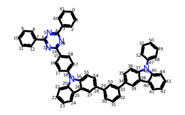 c1ccc(-c2nc(-c3ccccc3)nc(-c3ccc(-n4c5ccccc5c5cc(-c6cccc(-c7ccc8c(c7)c7ccccc7n8-c7ccccc7)c6)ccc54)cc3)n2)cc1